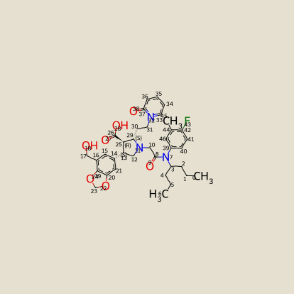 CCCC(CCC)N(C(=O)CN1C[C@H](c2cc(CO)c3c(c2)OCO3)[C@@H](C(=O)O)[C@@H]1CCn1ccccc1=O)c1ccc(F)c(C)c1